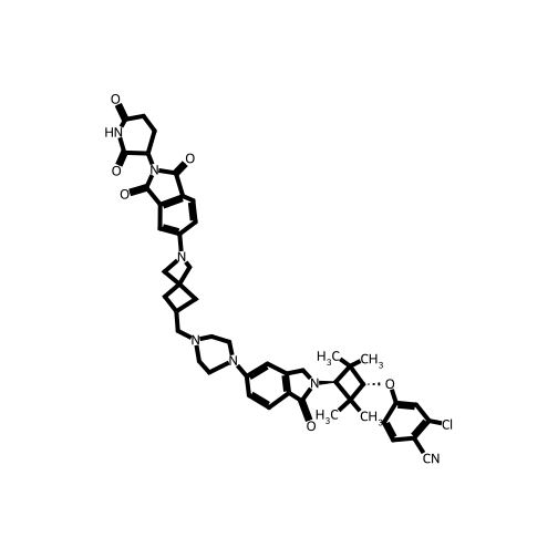 CC1(C)[C@H](Oc2ccc(C#N)c(Cl)c2)C(C)(C)[C@H]1N1Cc2cc(N3CCN(CC4CC5(C4)CN(c4ccc6c(c4)C(=O)N(C4CCC(=O)NC4=O)C6=O)C5)CC3)ccc2C1=O